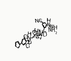 N#Cc1cc(NC(=N)N)cc(C(=O)NCC(=O)NCCNC(=O)c2c(Cl)cc(-c3ccccc3)cc2Cl)c1